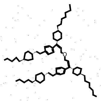 CCCCCCC[C@H]1CC[C@H](C(=CCOCC=C(c2ccc(CC[C@H]3CC[C@H](CCCCC)CC3)cc2)[C@H]2CC[C@H](CCCCCCC)CC2)c2ccc(CC[C@H]3CC[C@H](CCCCC)CC3)cc2)CC1